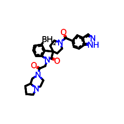 Bc1cccc2c1C1(CCN(C(=O)c3ccc4[nH]ncc4c3)CC1)C(=O)N2CC(=O)N1CCN2CCCC2C1